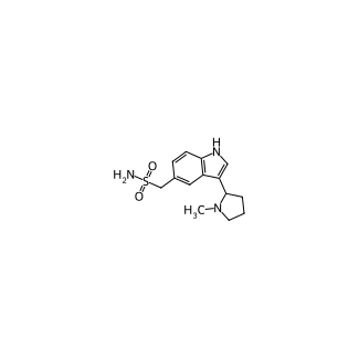 CN1CCCC1c1c[nH]c2ccc(CS(N)(=O)=O)cc12